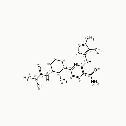 Cc1nsc(Nc2nc(N3CCC[C@@H](NC(=O)N(C)C)[C@H]3C)cnc2C(N)=O)c1C